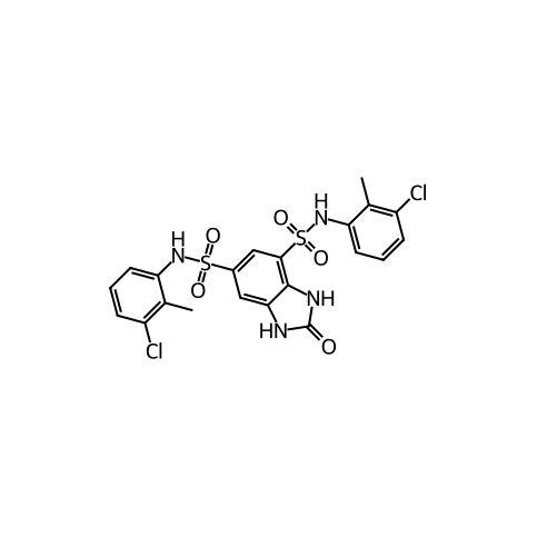 Cc1c(Cl)cccc1NS(=O)(=O)c1cc(S(=O)(=O)Nc2cccc(Cl)c2C)c2[nH]c(=O)[nH]c2c1